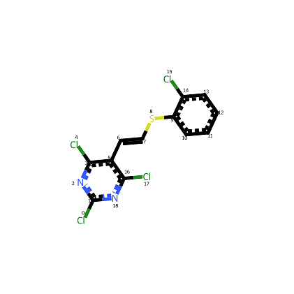 Clc1nc(Cl)c(/C=C/Sc2ccccc2Cl)c(Cl)n1